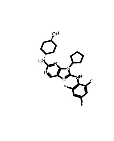 O[C@H]1CC[C@H](Nc2ncc3nc(Nc4c(F)cc(F)cc4F)n(C4CCCC4)c3n2)CC1